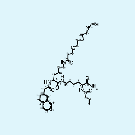 CCCC(=O)NC(CCCCNC(=O)C(CCCCNC(=O)CCOCCOCCN=C=S)NC(=O)Cc1ccc2ccccc2c1)C(N)=O